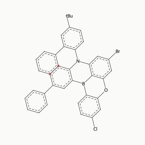 CC(C)(C)c1ccc(N2c3ccc(-c4ccccc4)cc3B3c4ccc(Cl)cc4Oc4cc(Br)cc2c43)c(-c2ccccc2)c1